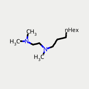 CCCCCCCCCN(C)CCN(C)C